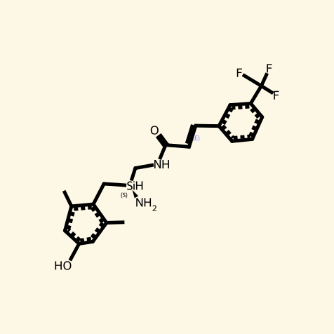 Cc1cc(O)cc(C)c1C[Si@H](N)CNC(=O)/C=C/c1cccc(C(F)(F)F)c1